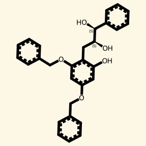 Oc1cc(OCc2ccccc2)cc(OCc2ccccc2)c1C[C@H](O)[C@@H](O)c1ccccc1